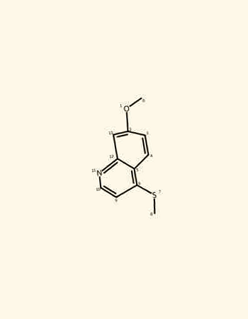 COc1ccc2c(SC)ccnc2c1